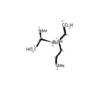 CC[C@H](C)[C@H](NC)C(=O)O.CSCCNCC(=O)O